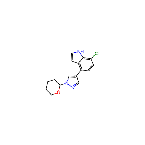 Clc1ccc(-c2cnn(C3CCCCO3)c2)c2cc[nH]c12